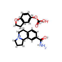 NC(=O)c1ccc2c(c1)C1CCCN1CC2.O=C(O)Oc1ccc2c(c1)CCO2